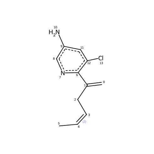 C=C(C/C=C\C)c1ncc(N)cc1Cl